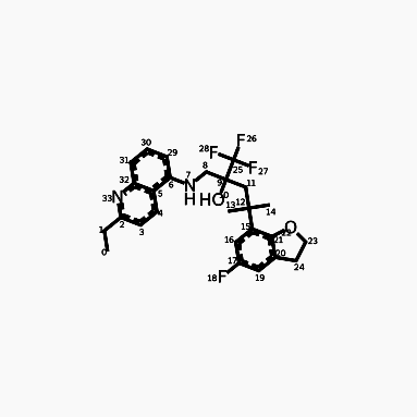 CCc1ccc2c(NCC(O)(CC(C)(C)c3cc(F)cc4c3OCC4)C(F)(F)F)cccc2n1